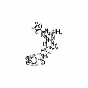 Nc1nc(N2CCC[C@H]2C(=O)N2CCN(C(=O)C3CCS(=O)(=O)CC3)CC2)nc2nc(-c3ccco3)nn12